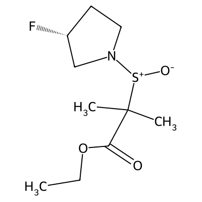 CCOC(=O)C(C)(C)[S+]([O-])N1CC[C@@H](F)C1